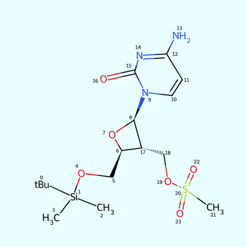 CC(C)(C)[Si](C)(C)OC[C@H]1O[C@@H](n2ccc(N)nc2=O)[C@@H]1COS(C)(=O)=O